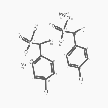 CCC(c1ccc(Cl)cc1)P(=O)([O-])[O-].CCC(c1ccc(Cl)cc1)P(=O)([O-])[O-].[Mg+2].[Mg+2]